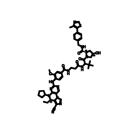 CC[C@@H]1c2c(C#N)ncn2-c2cnc(Nc3ccc(C(=O)NCCC(=O)NC(C(=O)N4C[C@H](O)C[C@H]4C(=O)NCc4ccc(-c5scnc5C)cc4)C(C)(C)C)cc3OC)nc2N1C1CCCC1